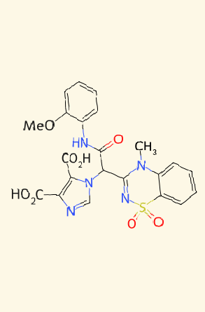 COc1ccccc1NC(=O)C(C1=NS(=O)(=O)c2ccccc2N1C)n1cnc(C(=O)O)c1C(=O)O